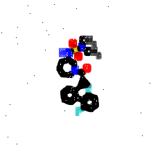 CN(C)S(=O)(=O)N[C@@H]1CCCCN(C(=O)[C@@H]2C[C@H]2c2ccccc2-c2c(F)cccc2F)C1